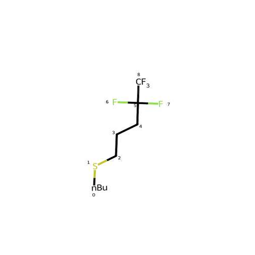 C[CH]CCSCCCC(F)(F)C(F)(F)F